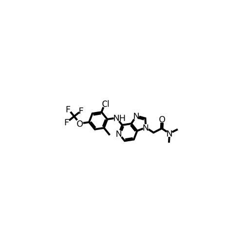 Cc1cc(OC(F)(F)F)cc(Cl)c1Nc1nccc2c1ncn2CC(=O)N(C)C